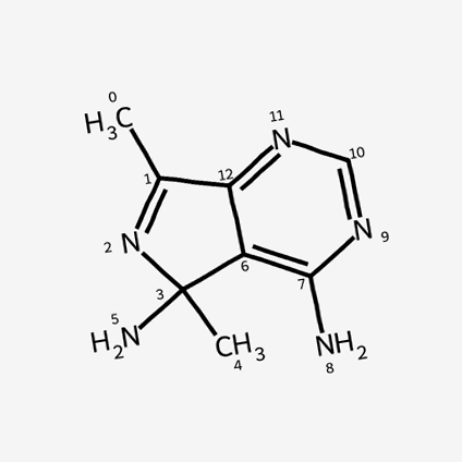 CC1=NC(C)(N)c2c(N)ncnc21